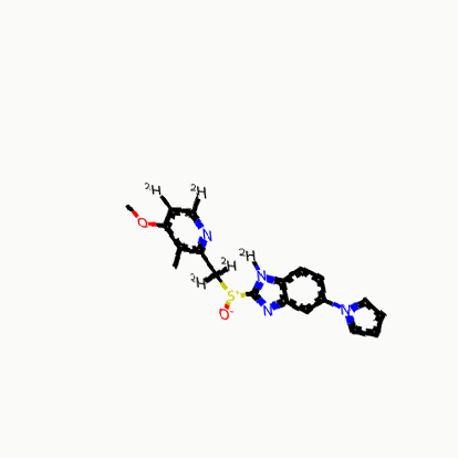 [2H]c1nc(C([2H])([2H])[S+]([O-])c2nc3cc(-n4cccc4)ccc3n2[2H])c(C)c(OC)c1[2H]